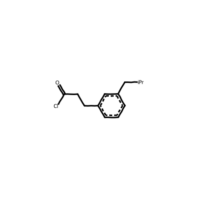 CC(C)Cc1cccc(CCC(=O)Cl)c1